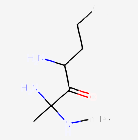 CCCCCCNC(C)(N)C(=O)C(N)CCC(=O)O